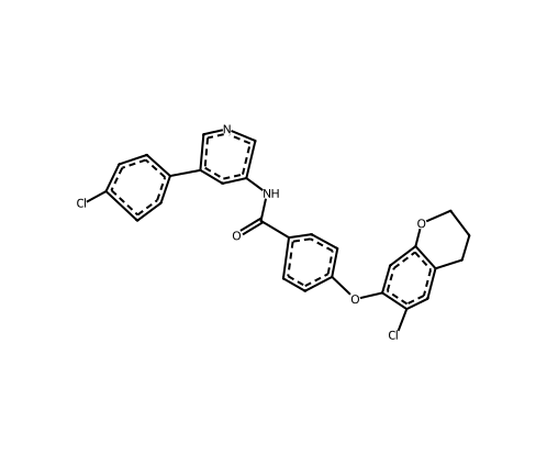 O=C(Nc1cncc(-c2ccc(Cl)cc2)c1)c1ccc(Oc2cc3c(cc2Cl)CCCO3)cc1